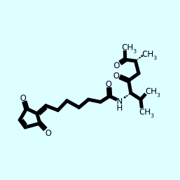 CC(=O)[C@H](C)CC(=O)[C@@H](NC(=O)CCCCCC=C1C(=O)C=CC1=O)C(C)C